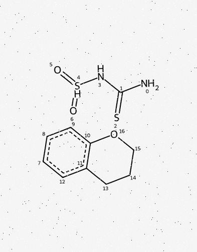 NC(=S)N[SH](=O)=O.c1ccc2c(c1)CCCO2